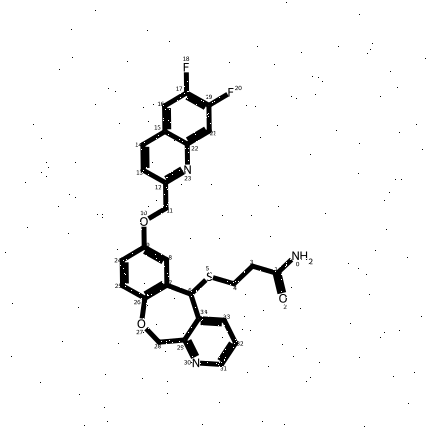 NC(=O)CCSC1c2cc(OCc3ccc4cc(F)c(F)cc4n3)ccc2OCc2ncccc21